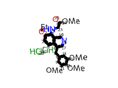 CCOc1ccc2c(Cc3cc(OC)c(OC)c(OC)c3)cncc2c1NCC(=O)OC.Cl.Cl